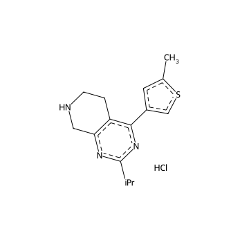 Cc1cc(-c2nc(C(C)C)nc3c2CCNC3)cs1.Cl